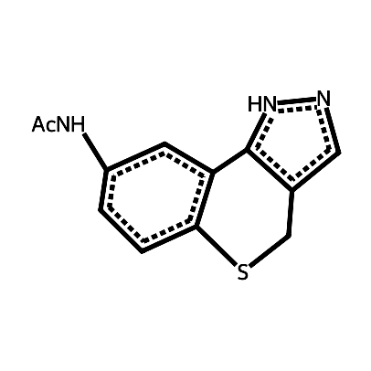 CC(=O)Nc1ccc2c(c1)-c1[nH]ncc1CS2